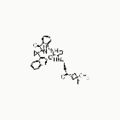 CC1(F)CN(C(=O)C#CCNC(=O)C(=O)NCc2ccccc2C(=O)C(=N)C2(c3cccc4ccccc34)CC2)C1